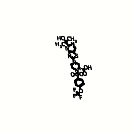 CC(C)(O)c1ncc2sc(N3CCN(S(=O)(=O)c4ccc(OC(F)(F)F)cc4)[C@@H](C(=O)O)C3)nc2n1